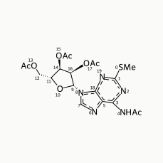 CSc1nc(NC(C)=O)c2ncn([C@@H]3O[C@H](COC(C)=O)[C@@H](OC(C)=O)[C@H]3OC(C)=O)c2n1